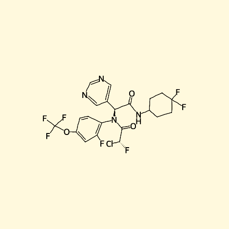 O=C(NC1CCC(F)(F)CC1)[C@H](c1cncnc1)N(C(=O)[C@H](F)Cl)c1ccc(OC(F)(F)F)cc1F